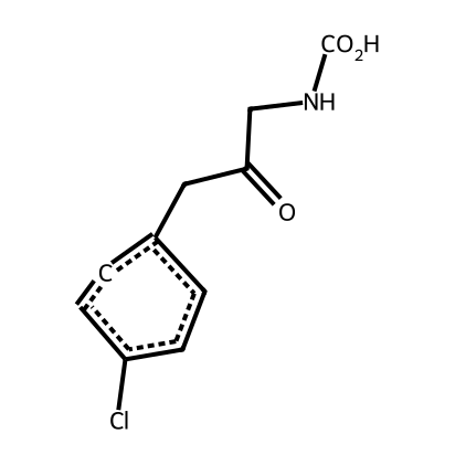 O=C(CNC(=O)O)Cc1ccc(Cl)cc1